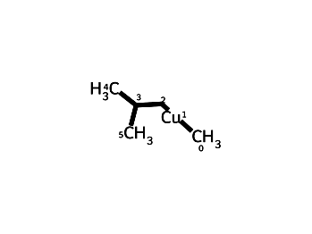 [CH3][Cu][CH2]C(C)C